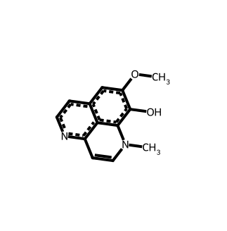 COc1cc2ccnc3c2c(c1O)N(C)C=C3